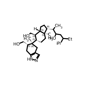 CCC(CC(O)C(C)[C@H]1CC[C@H]2[C@H](CO)[C@@H]([C@@]3(C)Cc4cn[nH]c4C[C@@H]3CO)CC[C@]12C)C(C)C